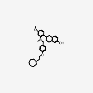 COc1ccc(C2CCc3cc(O)ccc3C2)c(N(C)Cc2ccc(OCCN3CCCCCC3)cc2)c1